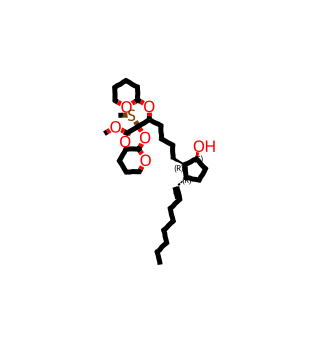 CCCCCCC=C[C@H]1CC[C@H](O)[C@@H]1CCCCC(OC1CCCCO1)C(OC1CCCCO1)(SC)C(=O)OC